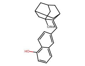 COC12CC3CC(CC(C3)C1=Cc1ccc3c(O)cccc3c1)C2